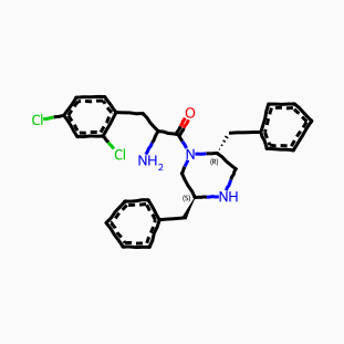 NC(Cc1ccc(Cl)cc1Cl)C(=O)N1C[C@H](Cc2ccccc2)NC[C@H]1Cc1ccccc1